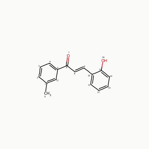 Cc1cccc(C(=O)C=Cc2ccccc2O)c1